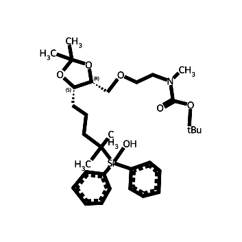 CN(CCOC[C@H]1OC(C)(C)O[C@H]1CCCC(C)(C)[Si](O)(c1ccccc1)c1ccccc1)C(=O)OC(C)(C)C